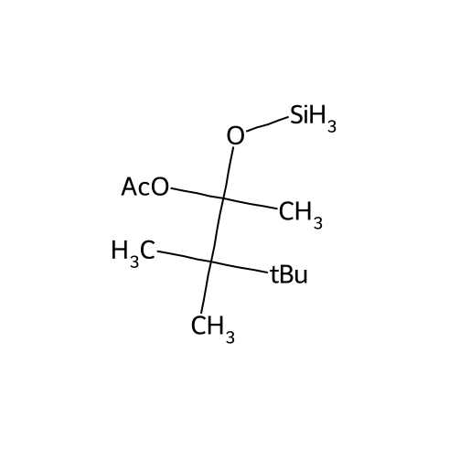 CC(=O)OC(C)(O[SiH3])C(C)(C)C(C)(C)C